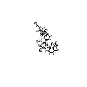 Cc1ccc(CNC(=O)[C@H]2CCCN2C(=O)[C@H]2CCCN(S(=O)(=O)N3CC(C#N)C3)C2)cc1C(F)(F)F